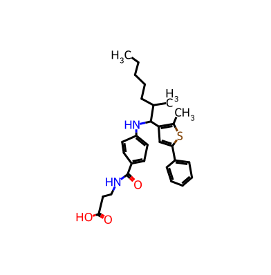 CCCCCC(C)C(Nc1ccc(C(=O)NCCC(=O)O)cc1)c1cc(-c2ccccc2)sc1C